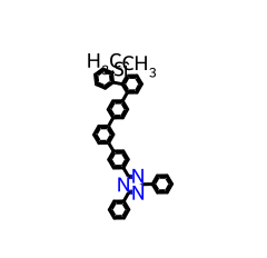 C[Si]1(C)c2ccccc2-c2c(-c3ccc(-c4cccc(-c5ccc(-c6nc(-c7ccccc7)nc(-c7ccccc7)n6)cc5)c4)cc3)cccc21